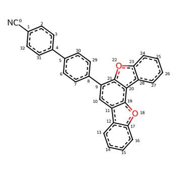 N#Cc1ccc(-c2ccc(-c3cc4c5ccccc5oc4c4c3oc3ccccc34)cc2)cc1